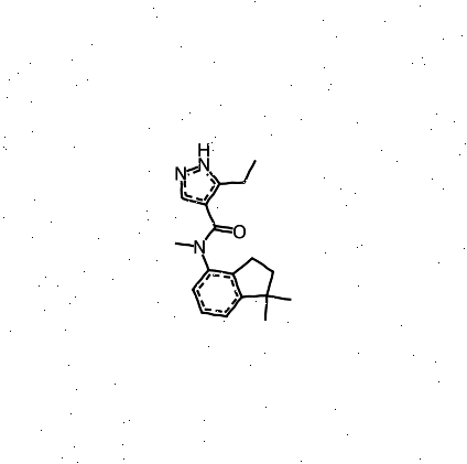 CCc1[nH]ncc1C(=O)N(C)c1cccc2c1CCC2(C)C